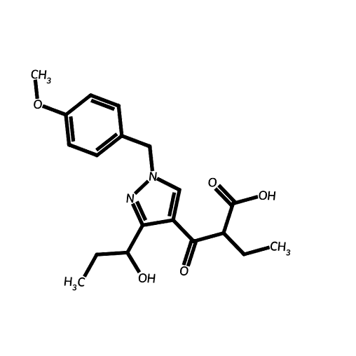 CCC(C(=O)O)C(=O)c1cn(Cc2ccc(OC)cc2)nc1C(O)CC